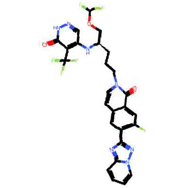 O=c1[nH]ncc(N[C@H](CCCn2ccc3cc(-c4nc5ccccn5n4)c(F)cc3c2=O)COC(F)F)c1C(F)(F)F